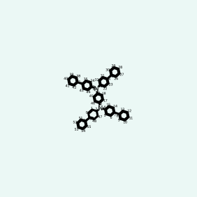 C1=CC(N(c2ccc(-c3ccccc3)cc2)c2ccc(N(c3ccc(-c4ccccc4)cc3)c3ccc(-c4ccccc4)cc3)cc2)CC=C1c1ccccc1